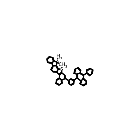 CC1(C)c2ccccc2-c2ccc3c(sc4cc(-c5cccc(-c6c7ccccc7c(-c7ccccc7)c7ccccc67)c5)c5ccccc5c43)c21